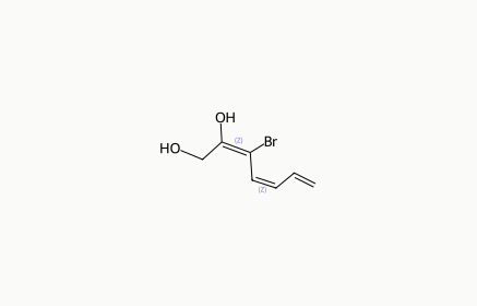 C=C/C=C\C(Br)=C(\O)CO